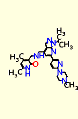 Cc1cc(C)c(CNCc2cc(-c3ccc(N4CCN(C)CC4)nc3)nc3c2cnn3C(C)C)c(=O)[nH]1